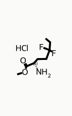 CCC(F)(F)CC[C@H](N)C(=O)OC.Cl